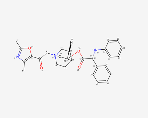 Cc1nc(C)c(C(=O)C[N+]23CCC(CC2)[C@@H](OC(=O)[C@H](Nc2ccccc2)c2ccccc2)C3)o1